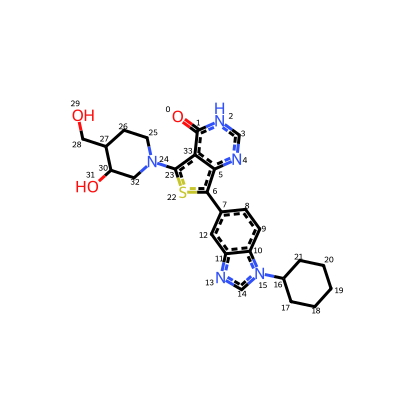 O=c1[nH]cnc2c(-c3ccc4c(c3)ncn4C3CCCCC3)sc(N3CCC(CO)C(O)C3)c12